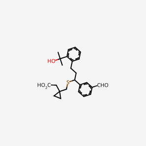 CC(C)(O)c1ccccc1CCC(SCC1(CC(=O)O)CC1)c1cccc(C=O)c1